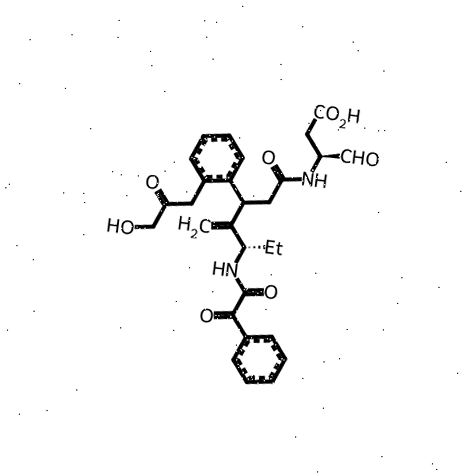 C=C(C(CC(=O)N[C@H](C=O)CC(=O)O)c1ccccc1CC(=O)CO)[C@H](CC)NC(=O)C(=O)c1ccccc1